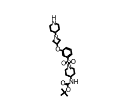 CC(C)(C)OC(=O)NC1CCN(S(=O)(=O)c2cccc(OC3CN(C4CCNCC4)C3)c2)CC1